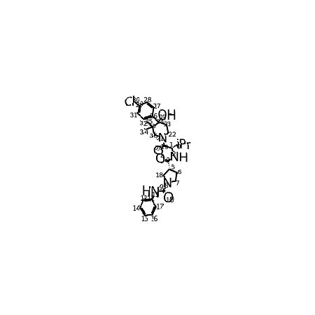 CC(C)[C@@H](NC(=O)[C@@H]1CCN(C(=O)Nc2ccccc2)C1)C(=O)N1CC[C@](O)(c2ccc(Cl)cc2)C(C)(C)C1